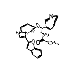 CC(=O)NC[C@H](Oc1ccc2ncc(-c3cc4ccccc4o3)n2n1)c1cccnc1